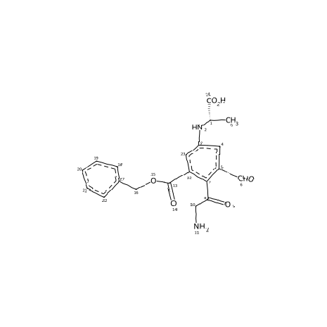 C[C@H](Nc1cc(C=O)c(C(=O)CN)c(C(=O)OCc2ccccc2)c1)C(=O)O